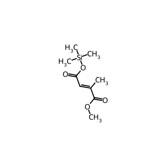 COC(=O)C(C)=CC(=O)O[Si](C)(C)C